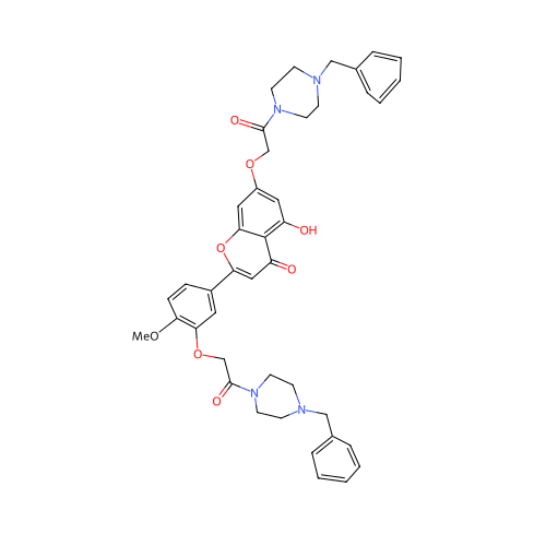 COc1ccc(-c2cc(=O)c3c(O)cc(OCC(=O)N4CCN(Cc5ccccc5)CC4)cc3o2)cc1OCC(=O)N1CCN(Cc2ccccc2)CC1